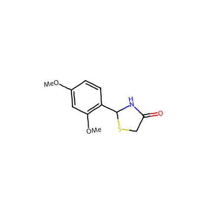 COc1ccc(C2NC(=O)CS2)c(OC)c1